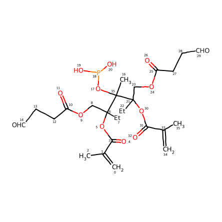 C=C(C)C(=O)OC(CC)(COC(=O)CCC=O)C(C)(OP(O)O)C(CC)(COC(=O)CCC=O)OC(=O)C(=C)C